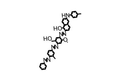 COc1cc(N=Nc2ccc(N=Nc3ccccc3)c(C)c2)c(CO)cc1N=Nc1ccc2cc(Nc3ccc(C)cc3)ccc2c1O